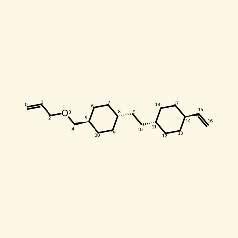 C=CCOC[C@H]1CC[C@H](CC[C@H]2CC[C@H](C=C)CC2)CC1